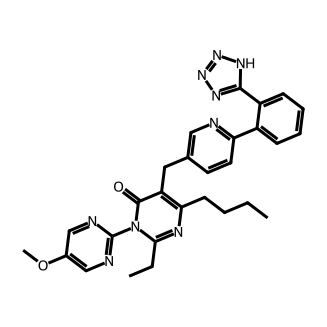 CCCCc1nc(CC)n(-c2ncc(OC)cn2)c(=O)c1Cc1ccc(-c2ccccc2-c2nnn[nH]2)nc1